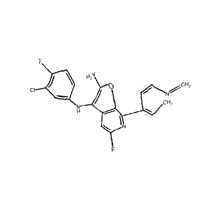 C=N/C=C\C(=C/C)c1nc(F)cc2c(Nc3ccc(F)c(Cl)c3)c(N)oc12